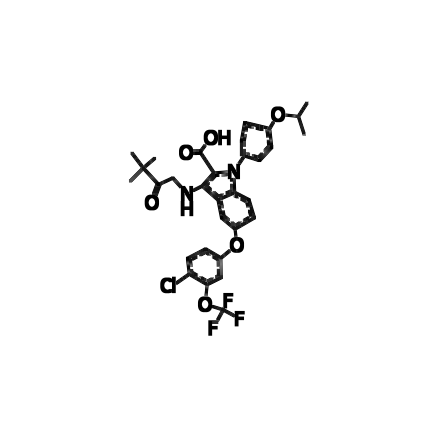 CC(C)Oc1ccc(-n2c(C(=O)O)c(NCC(=O)C(C)(C)C)c3cc(Oc4ccc(Cl)c(OC(F)(F)F)c4)ccc32)cc1